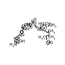 C/C=C/[C@@H]1O[C@H]([C@@H](/C=C/C=C(\C)C[C@@H](C)/C=C(C)\C=C\[C@H]2CC=CC(=O)O2)NC(=O)CCSSC[C@H](NC(=O)CC[C@H](NC(=O)c2ccc(NCc3cnc4nc(N)nc(O)c4n3)cc2)C(=O)O)C(=O)O)C[C@@H](O)[C@@H]1C